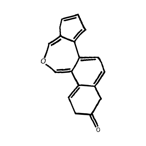 O=C1CC=c2c(ccc3c2=COC=C2C=CC=C23)C1